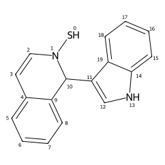 SN1C=Cc2ccccc2C1c1c[nH]c2ccccc12